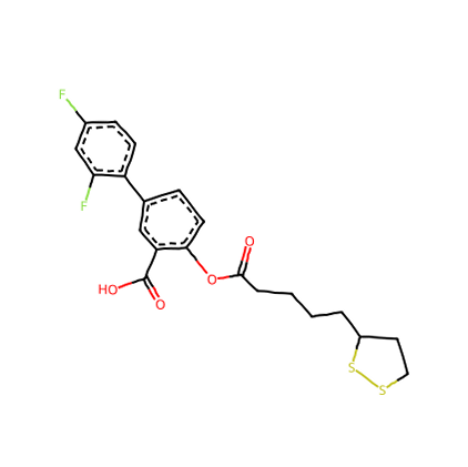 O=C(CCCCC1CCSS1)Oc1ccc(-c2ccc(F)cc2F)cc1C(=O)O